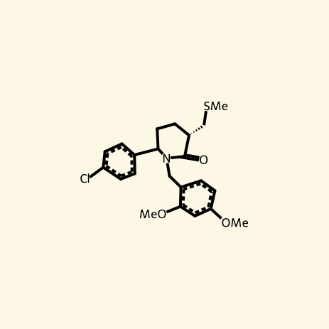 COc1ccc(CN2C(=O)[C@@H](CSC)CCC2c2ccc(Cl)cc2)c(OC)c1